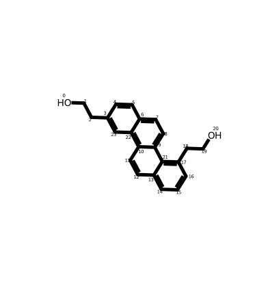 OCCc1ccc2ccc3c(ccc4cccc(CCO)c43)c2c1